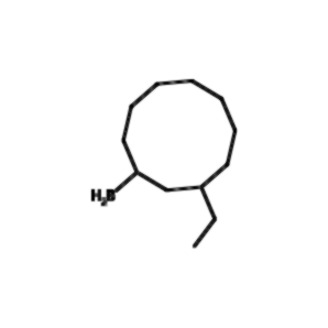 BC1CCCCCCCC(CC)C1